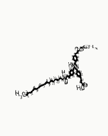 CCCCCCCCCCCCCCCCNC(=O)C=Cc1ccc(-c2[nH]c(-c3ccc(C=CC(=O)OCC)cc3)nc2-c2ccc(C=CC(=O)O)cc2)cc1